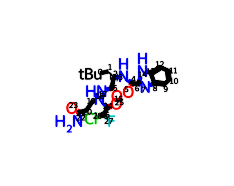 CC(C)(C)C[C@H](NC(=O)c1nc2ccccc2[nH]1)C(=O)NN(CCC(N)=O)C(=O)C(F)Cl